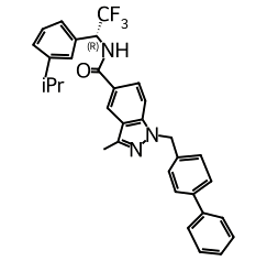 Cc1nn(Cc2ccc(-c3ccccc3)cc2)c2ccc(C(=O)N[C@H](c3cccc(C(C)C)c3)C(F)(F)F)cc12